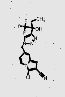 CCC(O)(c1cn(Cc2ccn3c(Cl)c(C#N)cc3c2)nn1)C(F)(F)F